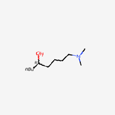 CCCC[C@@H](O)CCCCN(C)C